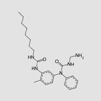 CCCCCCCCNC(=O)Nc1cc(N(C(=O)NCN)c2ccccc2)ccc1C